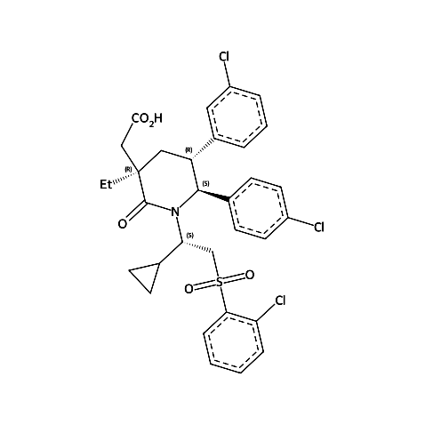 CC[C@]1(CC(=O)O)C[C@H](c2cccc(Cl)c2)[C@@H](c2ccc(Cl)cc2)N([C@H](CS(=O)(=O)c2ccccc2Cl)C2CC2)C1=O